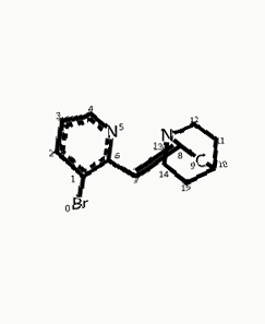 Brc1cccnc1C=C1CC2CCN1CC2